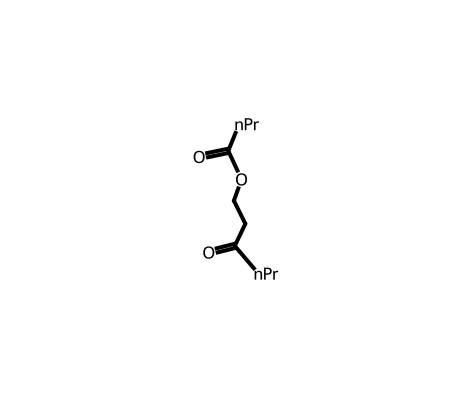 [CH2]CCC(=O)OCCC(=O)CCC